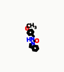 COc1ccc(CNC(=O)n2ccc3ccccc32)cc1